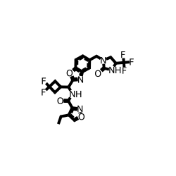 CCc1conc1C(=O)NC(c1nc2cc(CN3CC(C(F)(F)F)NC3=O)ccc2o1)C1CC(F)(F)C1